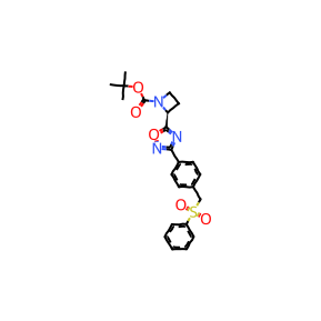 CC(C)(C)OC(=O)N1CC[C@H]1c1nc(-c2ccc(CS(=O)(=O)c3ccccc3)cc2)no1